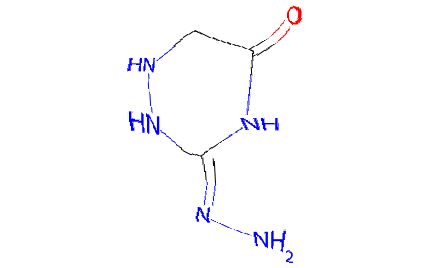 N/N=C1/NNCC(=O)N1